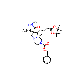 CC(=O)NC1(C(=O)NC(C)(C)C)CN2CCN(C(=O)OCc3ccccc3)C[C@@H]2C1CCCB1OC(C)(C)C(C)(C)O1